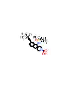 CC(C)(C)[S@@+]([O-])N[C@@H]1c2cc(C#C[Si](C)(C)C)ccc2CC12CCN(C(=O)O)CC2